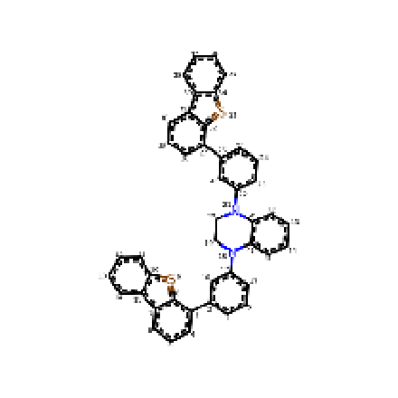 c1cc(-c2cccc3c2sc2ccccc23)cc(N2CCN(c3cccc(-c4cccc5c4sc4ccccc45)c3)c3ccccc32)c1